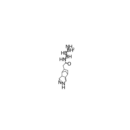 NBBBNC(=O)CC1CC2CC1C1C=NNC=C21